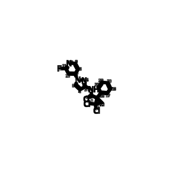 O=C(Nc1ccn(-c2ccnc(F)c2)n1)C1(c2ccccc2)CC1(Cl)Cl